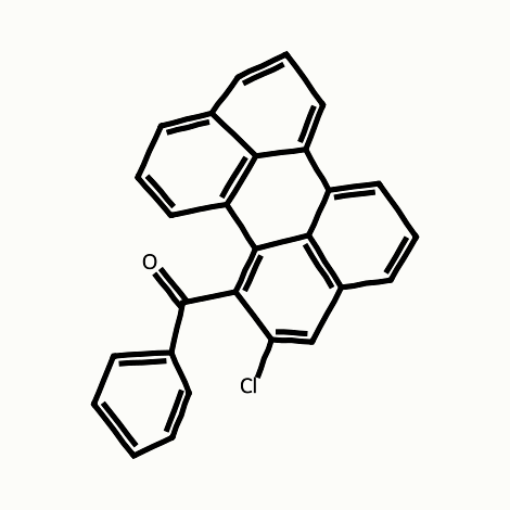 O=C(c1ccccc1)c1c(Cl)cc2cccc3c4cccc5cccc(c1c23)c54